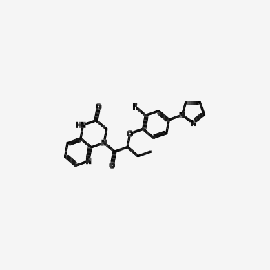 CCC(Oc1ccc(-n2cccn2)cc1F)C(=O)N1CC(=O)Nc2cccnc21